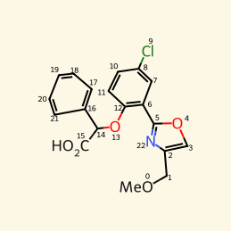 COCc1coc(-c2cc(Cl)ccc2OC(C(=O)O)c2ccccc2)n1